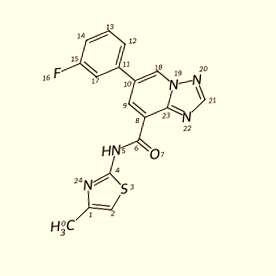 Cc1csc(NC(=O)c2cc(-c3cccc(F)c3)cn3ncnc23)n1